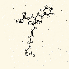 CCCCCC/C=C/CC(=O)NC(CCC(=O)O)CSc1ccncc1